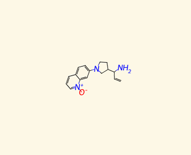 C=CC(N)C1CCN(c2ccc3ccc[n+]([O-])c3c2)C1